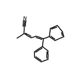 C/C(C#N)=C/C=C(c1ccccc1)c1ccccc1